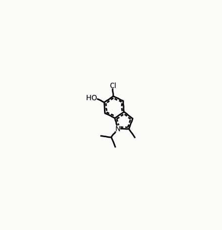 Cc1cc2cc(Cl)c(O)cc2n1C(C)C